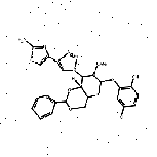 COC1C(n2cc(-c3csc(N)n3)nn2)[C@H]2OC(c3ccccc3)OCC2O[C@@H]1Sc1cc(Cl)ccc1C#N